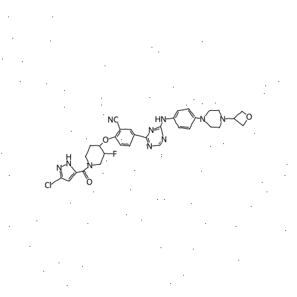 N#Cc1cc(-c2ncnc(Nc3ccc(N4CCN(C5COC5)CC4)cc3)n2)ccc1OC1CCN(C(=O)c2cc(Cl)n[nH]2)CC1F